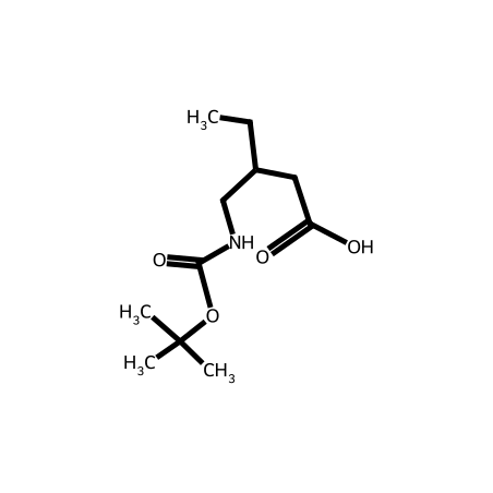 CCC(CNC(=O)OC(C)(C)C)CC(=O)O